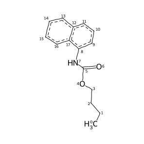 CCCCOC(=O)Nc1cccc2ccccc12